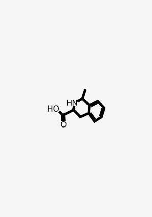 CC1NC(C(=O)O)Cc2ccccc21